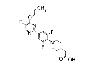 CCCOc1nc(-c2cc(F)c(N3CCC(CC(=O)O)CC3)c(F)c2)ncc1F